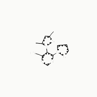 Cc1cc(C)n(-c2c(N)ncnc2-n2cccn2)n1